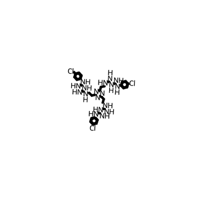 N=C(NCCc1nc(CCNC(=N)NC(=N)Nc2ccc(Cl)cc2)nc(CCNC(=N)NC(=N)Nc2ccc(Cl)cc2)n1)NC(=N)Nc1ccc(Cl)cc1